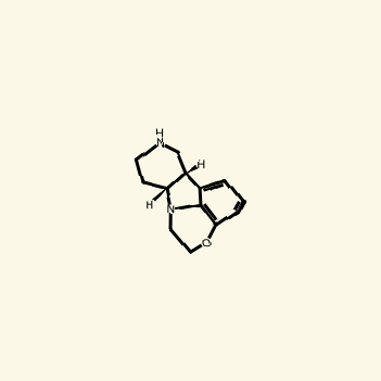 c1cc2c3c(c1)[C@H]1CNCC[C@H]1N3CCO2